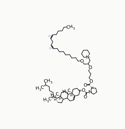 CCCCC/C=C\C/C=C\CCCCCCCCOCC(CN1CCCCC1)OCCCOC(=O)[C@@H]1CCCN1C(=O)O[C@H]1CC[C@@]2(C)C(=CCC3C2CC[C@@]2(C)C3CC[C@@H]2[C@@H](C)CCCC(C)C)C1